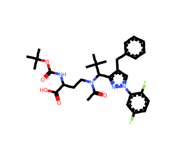 CC(=O)N(CCC(NC(=O)OC(C)(C)C)C(=O)O)C(c1nn(-c2cc(F)ccc2F)cc1Cc1ccccc1)C(C)(C)C